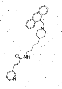 O=C(C=Cc1cccnc1)NCCCCC1CCN(Cc2c3ccccc3cc3ccccc23)CC1